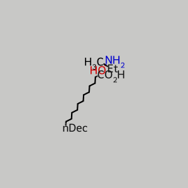 CCC(C)(N)O.CCCCCCCCCCCCCCCCCCCCCC(=O)O